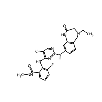 CCN1CC(=O)Nc2cc(Nc3ncc(Cl)c(Nc4c(F)cccc4C(=O)NC)n3)ccc2C1